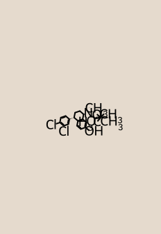 CN(C(=O)OC(C)(C)C)[C@H]1CC[C@@H](c2ccc(Cl)c(Cl)c2)c2ccc(O)cc21